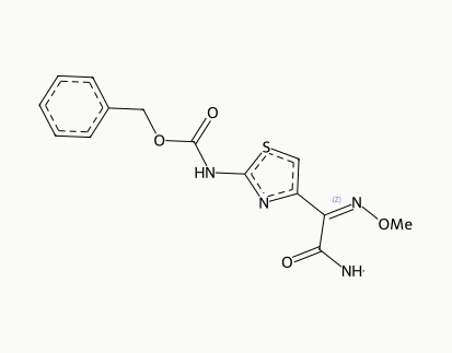 CO/N=C(\C([NH])=O)c1csc(NC(=O)OCc2ccccc2)n1